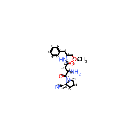 COCC(Cc1ccccc1)NC(=O)CC(N)C(=O)N1CCC[C@H]1C#N